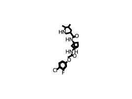 CC1CC(C(=O)NC23CC(C2)[C@@H](NC(=O)COc2ccc(Cl)c(F)c2)C3)CNC1C